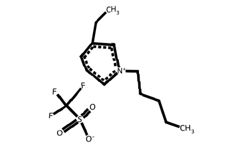 CCCCC[n+]1cccc(CC)c1.O=S(=O)([O-])C(F)(F)F